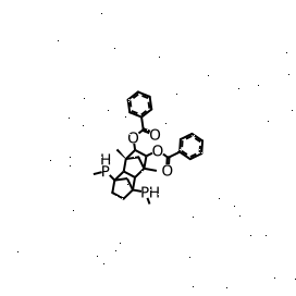 CPC12CCC(PC)(C1)C1C2C2(C)C[C@@]1(C)C(OC(=O)c1ccccc1)C2OC(=O)c1ccccc1